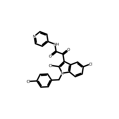 O=C(Nc1ccncc1)C(=O)c1c(Cl)n(Cc2ccc(Cl)cc2)c2ccc(Cl)cc12